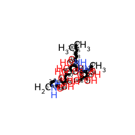 C=C1C=CN(C2OC(C(O)C[C@H]3O[C@@H](OC4OC(CO)C(O)C(O)C4NC(C)=O)[C@H](NC(=O)/C=C/CC(C)C)[C@@H](O)[C@H]3O)C(O)C2O)C(=O)N1